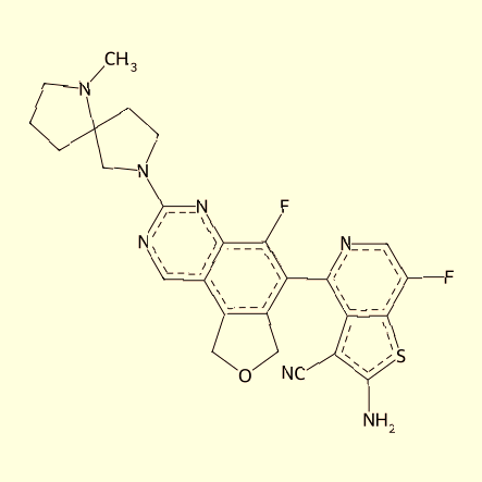 CN1CCCC12CCN(c1ncc3c4c(c(-c5ncc(F)c6sc(N)c(C#N)c56)c(F)c3n1)COC4)C2